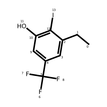 CCc1cc(C(F)(F)F)cc(O)c1I